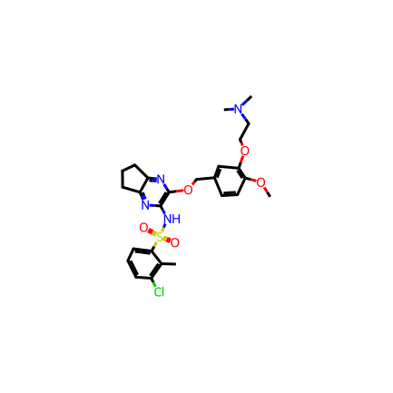 COc1ccc(COc2nc3c(nc2NS(=O)(=O)c2cccc(Cl)c2C)CCC3)cc1OCCN(C)C